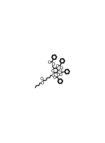 CCCCOC(=O)CCCCO[C@H]1OC(COC(=O)c2ccccc2)[C@@H](OC(=O)c2ccccc2)C(OC(=O)c2ccccc2)[C@H]1OC(=O)c1ccccc1